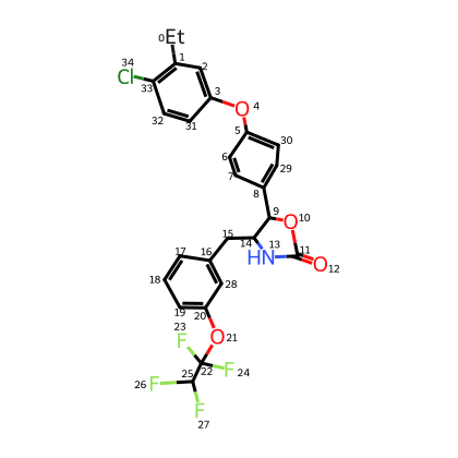 CCc1cc(Oc2ccc(C3OC(=O)NC3Cc3cccc(OC(F)(F)C(F)F)c3)cc2)ccc1Cl